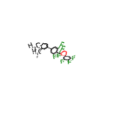 Cc1ccc(-c2cc(F)c(C(F)(F)Oc3cc(F)c(F)c(F)c3)c(F)c2)cc1C